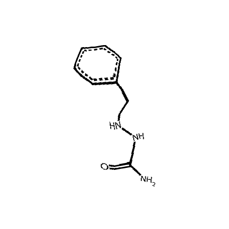 NC(=O)NNCc1ccccc1